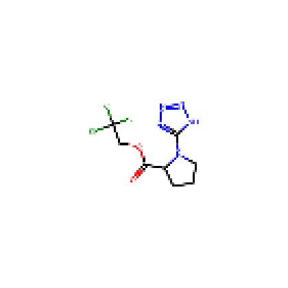 O=C(OCC(Cl)(Cl)Cl)C1CCCN1c1nnn[nH]1